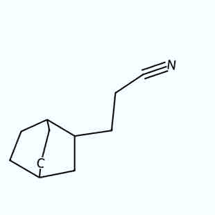 N#CCCC1CC2CCC1CC2